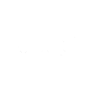 Cc1nc2c3c(nn2c(C)c1Cl)CN(C(=O)c1ccc(F)cc1OC1CC2CCCC(C1)N2C)C3